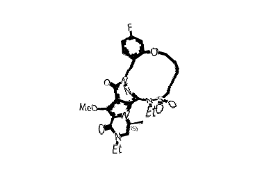 CCN1C[C@H](C)n2c(c(OC)c3c(=O)n4nc(c32)N(CC)S(=O)(=O)CCCCCOc2cc(F)ccc2C4)C1=O